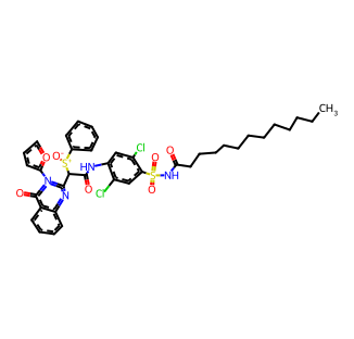 CCCCCCCCCCCCC(=O)NS(=O)(=O)c1cc(Cl)c(NC(=O)C(c2nc3ccccc3c(=O)n2-c2ccco2)[S+]([O-])c2ccccc2)cc1Cl